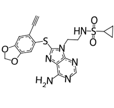 C#Cc1cc2c(cc1Sc1nc3c(N)ncnc3n1CCNS(=O)(=O)C1CC1)OCO2